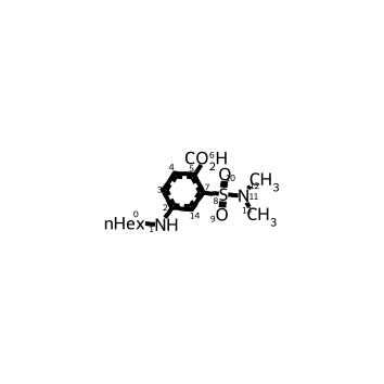 CCCCCCNc1ccc(C(=O)O)c(S(=O)(=O)N(C)C)c1